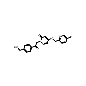 O=C(Cn1ncc(OCc2ccc(F)cn2)cc1=O)c1ccc(CO)cc1